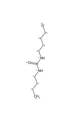 CCCCNC(=O)NCCCC[O]